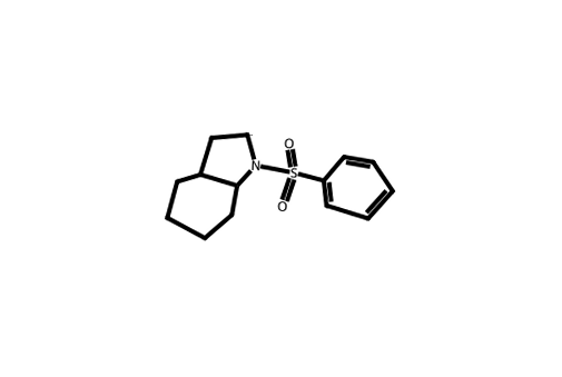 O=S(=O)(c1ccccc1)N1[CH]CC2CCCCC21